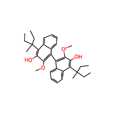 CCC(C)(CC)c1c(O)c(OC)c(-c2c(OC)c(O)c(C(C)(CC)CC)c3ccccc23)c2ccccc12